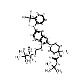 CC1(NC(=O)OC(C)(C)C)CCN(c2nc3nc(Sc4cccnc4C(F)(F)F)cnc3n2CCO[Si](C)(C)C(C)(C)C)CC1